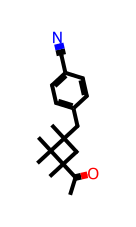 CC(=O)C1(C)CC(C)(Cc2ccc(C#N)cc2)C1(C)C